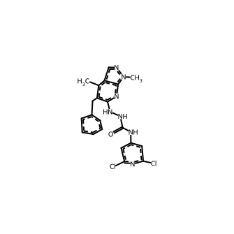 Cc1c(Cc2ccccc2)c(NNC(=O)Nc2cc(Cl)nc(Cl)c2)nc2c1cnn2C